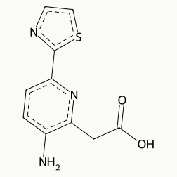 Nc1ccc(-c2nccs2)nc1CC(=O)O